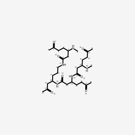 CNC(CCC(C)=O)CC(=O)NCCCC(CC(C)=O)NC(=O)CC(CCC(C)=O)NC(=O)CC(CCC(C)=O)NC